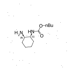 CCCCOC(=O)N[C@H]1CCCC[C@H]1N